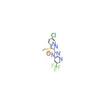 CC[S+]([O-])c1c(-c2nc3cc(C(F)(F)F)cnc3n2C)nn2cc(Cl)ccc12